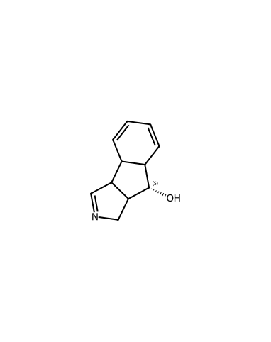 O[C@H]1C2C=CC=CC2C2C=NCC21